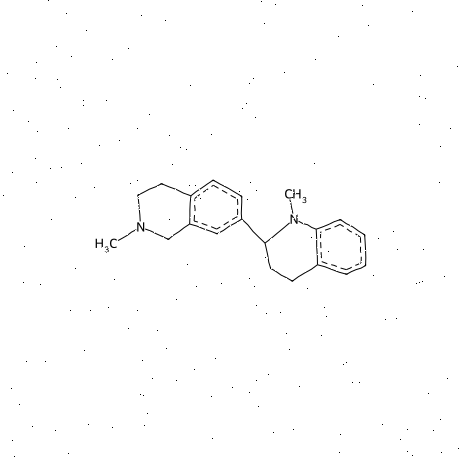 CN1CCc2ccc(C3CCc4ccccc4N3C)cc2C1